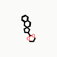 [CH]1COC(C2CCC3(C=Cc4ccccc4C3)C2)OC1